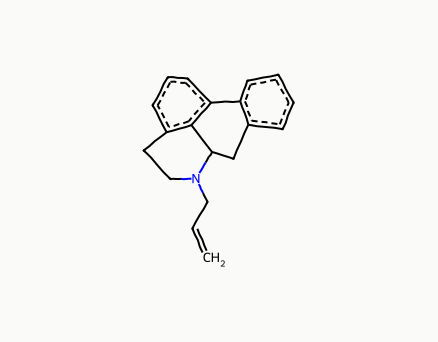 C=CCN1CCc2cccc3c2C1Cc1ccccc1-3